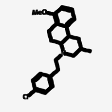 COc1cccc2c1CCC1C2CC(C)CN1CCc1ccc(Cl)cc1